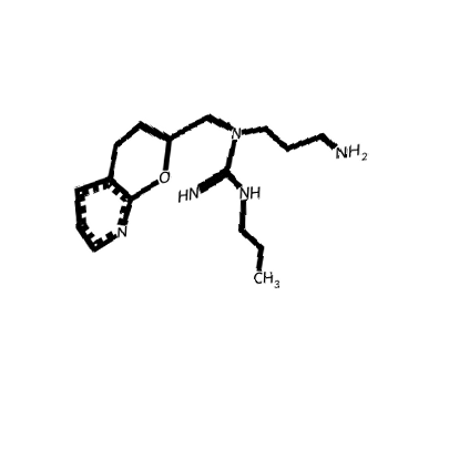 CCCNC(=N)N(CCCN)CC1CCc2cccnc2O1